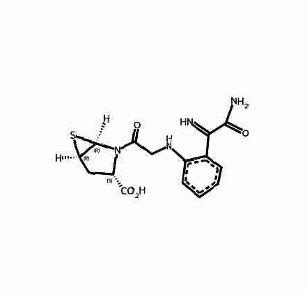 N=C(C(N)=O)c1ccccc1NCC(=O)N1[C@@H]2S[C@@H]2C[C@H]1C(=O)O